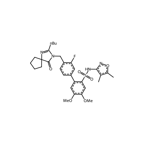 CCCCC1=NC2(CCCC2)C(=O)N1Cc1ccc(-c2cc(OC)c(OC)cc2S(=O)(=O)Nc2noc(C)c2C)cc1F